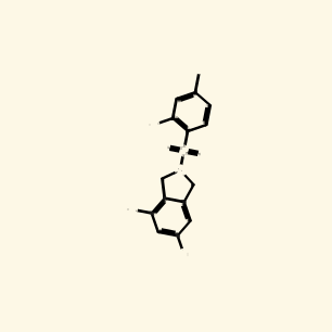 Cc1ccc(S(=O)(=O)N2Cc3cc(O)cc(O)c3C2)c(O)c1